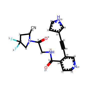 N#CC1CC(F)(F)CN1C(=O)CNC(=O)c1ccncc1C#Cc1cc[nH]c1